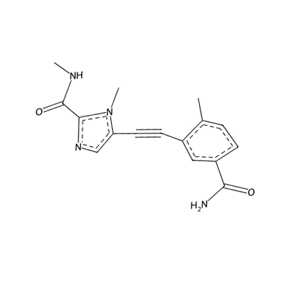 CNC(=O)c1ncc(C#Cc2cc(C(N)=O)ccc2C)n1C